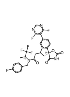 C[C@H](N(Cc1ccc(F)cc1)C(=O)CC1C[C@@]2(OC(=O)NC2=O)c2ccc(-c3c(F)ncnc3F)cc21)C(F)(F)F